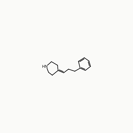 C(CCc1ccccc1)=C1CCNCC1